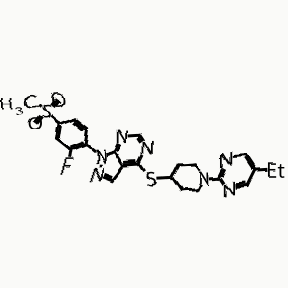 CCc1cnc(N2CCC(Sc3ncnc4c3cnn4-c3ccc(S(C)(=O)=O)cc3F)CC2)nc1